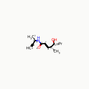 C#C[C@@H](C)NC(=O)/C=C/[C@@H](C)[C@H](O)C(C)C